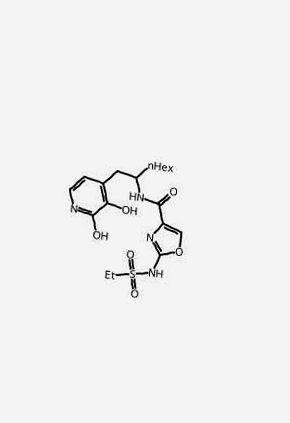 CCCCCCC(Cc1ccnc(O)c1O)NC(=O)c1coc(NS(=O)(=O)CC)n1